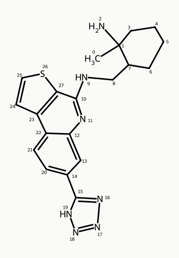 CC1(N)CCCCC1CNc1nc2cc(-c3nnn[nH]3)ccc2c2ccsc12